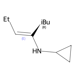 CC/C=C(/NC1CC1)[C@H](C)CC